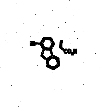 C=CC(=O)O.CCc1cccc2c1Cc1ccccc1-2